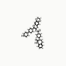 O=C(O[C@H](Cc1ccc2c(c1)OCCO2)C(=O)N1CCC(N2CCNCC2)CC1)N1CCC(N2CCc3ccccc3NC2=O)CC1